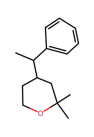 CC(c1ccccc1)C1CCOC(C)(C)C1